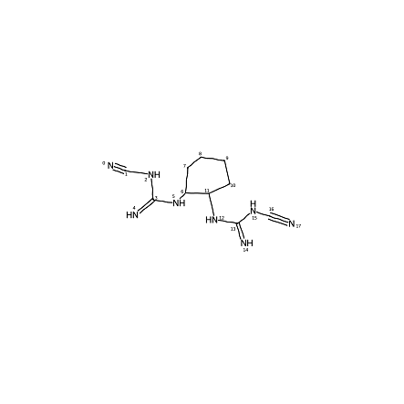 N#CNC(=N)NC1CCCCC1NC(=N)NC#N